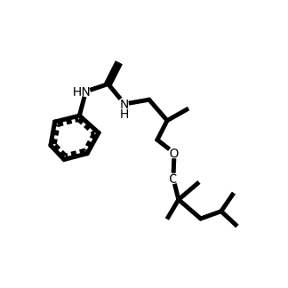 C=C(NCC(C)COCC(C)(C)CC(C)C)Nc1ccccc1